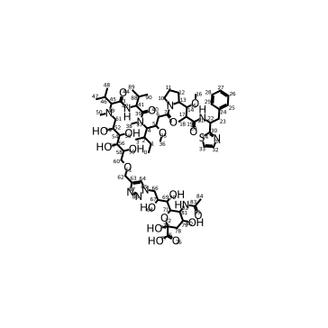 CCC(C)C(C(CC(=O)N1CCCC1C(OC)C(C)C(=O)NC(Cc1ccccc1)c1nccs1)OC)N(C)C(=O)C(NC(=O)C(C(C)C)N(C)CC(O)C(O)C(O)C(O)COCc1cn(CC(O)C(O)C2OC(O)(C(=O)O)CC(O)C2NC(C)=O)nn1)C(C)C